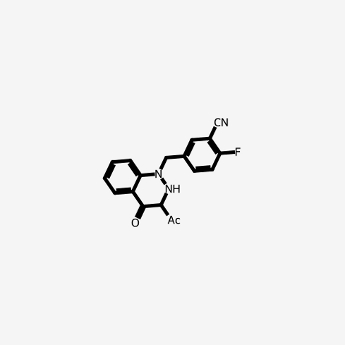 CC(=O)C1NN(Cc2ccc(F)c(C#N)c2)c2ccccc2C1=O